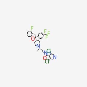 CC(CCNC(=O)c1c(Cl)cncc1Cl)N1CCC(C2(c3ccc(C(F)(F)F)cc3)Cc3c(F)cccc3O2)CC1